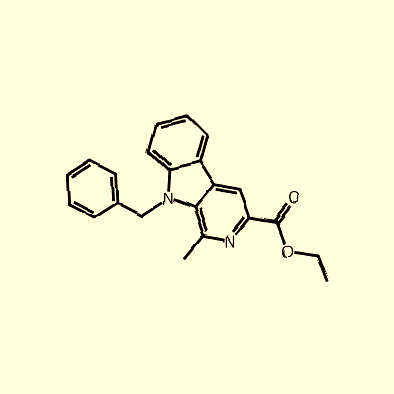 CCOC(=O)c1cc2c3ccccc3n(Cc3ccccc3)c2c(C)n1